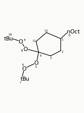 CCCCCCCCC1CCC(OOC(C)(C)C)(OOC(C)(C)C)CC1